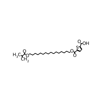 C=C(C)C(=O)OCCCCCCCCCCCCCCCCOC(=O)c1ccc(C(=O)O)s1